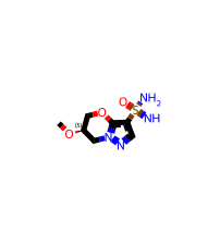 CO[C@@H]1COc2c(S(=N)(N)=O)cnn2C1